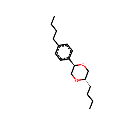 CCCCc1ccc([C@@H]2CO[C@@H](CCCC)CO2)cc1